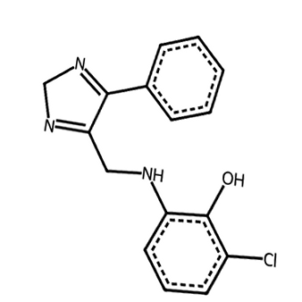 Oc1c(Cl)cccc1NCC1=NCN=C1c1ccccc1